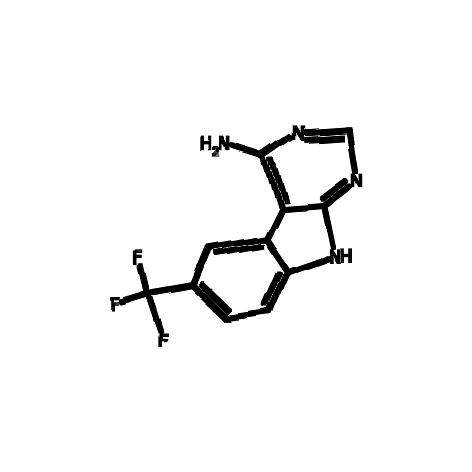 Nc1ncnc2[nH]c3ccc(C(F)(F)F)cc3c12